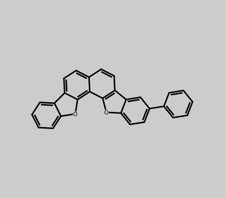 c1ccc(-c2ccc3oc4c(ccc5ccc6c7ccccc7oc6c54)c3c2)cc1